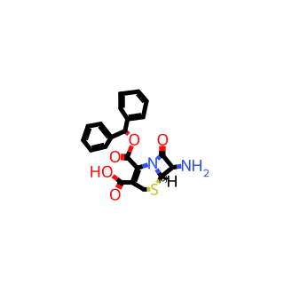 NC1C(=O)N2C(C(=O)OC(c3ccccc3)c3ccccc3)=C(C(=O)O)CS[C@@H]12